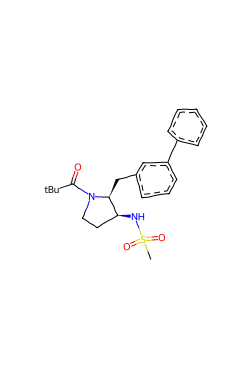 CC(C)(C)C(=O)N1CC[C@H](NS(C)(=O)=O)[C@@H]1Cc1cccc(-c2ccccc2)c1